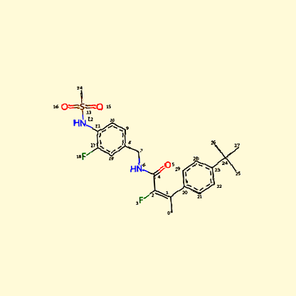 CC(=C(F)C(=O)NCc1ccc(NS(C)(=O)=O)c(F)c1)c1ccc(C(C)(C)C)cc1